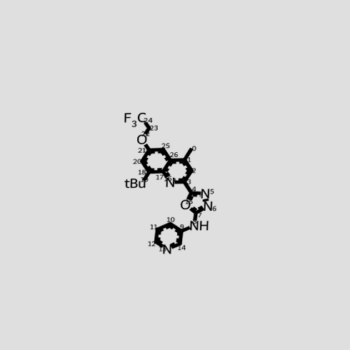 Cc1cc(-c2nnc(Nc3cccnc3)o2)nc2c(C(C)(C)C)cc(OCC(F)(F)F)cc12